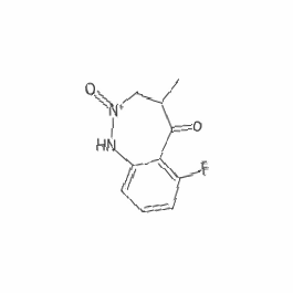 CC1C[N+](=O)Nc2cccc(F)c2C1=O